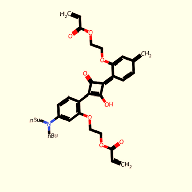 C=CC(=O)OCCOc1cc(N(CCCC)CCCC)ccc1C1=C(O)/C(=c2\ccc(=C)cc2OCCOC(=O)C=C)C1=O